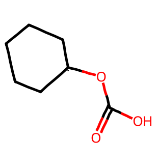 O=C(O)O[C]1CCCCC1